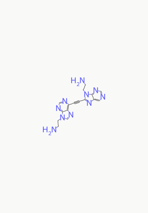 NCCn1cnc2c(C#Cc3nc4cncnc4n3CCN)ncnc21